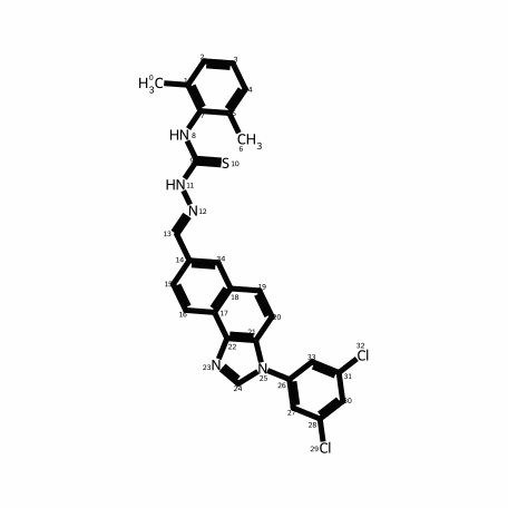 Cc1cccc(C)c1NC(=S)NN=Cc1ccc2c(ccc3c2ncn3-c2cc(Cl)cc(Cl)c2)c1